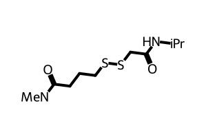 CNC(=O)CCCSSCC(=O)NC(C)C